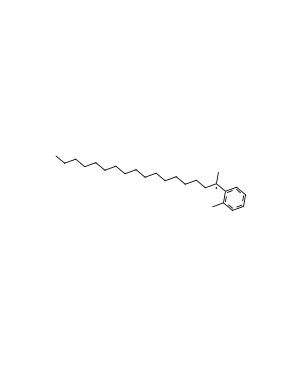 CCCCCCCCCCCCCCCC[C](C)c1ccccc1C